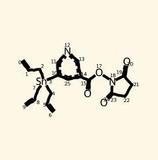 C=C[CH2][Sn]([CH2]C=C)([CH2]C=C)[c]1cncc(C(=O)ON2C(=O)CCC2=O)c1